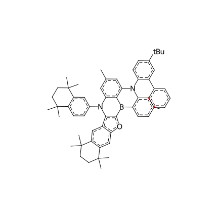 Cc1ccc2c(c1)N(c1ccc(C(C)(C)C)cc1-c1ccccc1)c1cc(C)cc3c1B2c1oc2cc4c(cc2c1N3c1ccc2c(c1)C(C)(C)CCC2(C)C)C(C)(C)CCC4(C)C